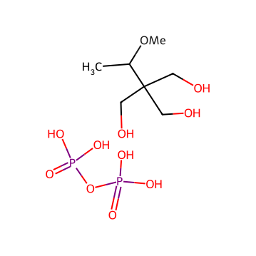 COC(C)C(CO)(CO)CO.O=P(O)(O)OP(=O)(O)O